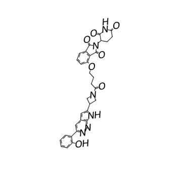 O=C1CCC(N2C(=O)c3cccc(OCCCC(=O)N4CC(c5cc6cc(-c7ccccc7O)nnc6[nH]5)C4)c3C2=O)C(=O)N1